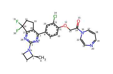 C[C@H]1CCN1c1nc(-c2ccc(OCC(=O)N3C=CC=NC=C3)c(Cl)c2)c2c(n1)C(F)(F)CC2